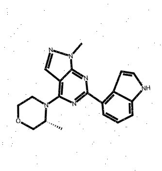 C[C@@H]1COCCN1c1nc(-c2cccc3[nH]ccc23)nc2c1cnn2C